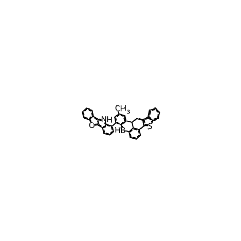 Cc1cc(-c2cccc3c2[nH]c2c4ccccc4oc32)c2c(c1)C1Cc3c(sc4ccccc34)-c3cccc(c31)B2